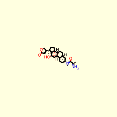 C[C@@H](N)C(=O)N(C)[C@@H]1CC[C@]2(C)[C@H](CC[C@@H]3[C@H]2C[C@@H](O)[C@@]2(C)[C@@H](C4=CC(=O)OC4)CC[C@@]32O)C1